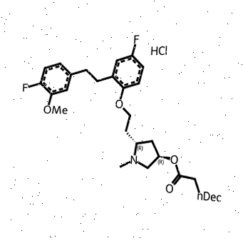 CCCCCCCCCCCC(=O)O[C@@H]1C[C@@H](CCOc2ccc(F)cc2CCc2ccc(F)c(OC)c2)N(C)C1.Cl